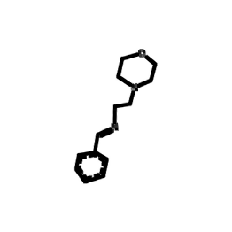 C(=NCCN1CCOCC1)c1ccccc1